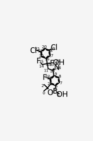 CC1(C)OB(O)c2ccc(/C(CC(F)(CF)c3cc(Cl)cc(Cl)c3)=N/O)c(F)c21